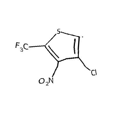 O=[N+]([O-])c1c(Cl)[c]sc1C(F)(F)F